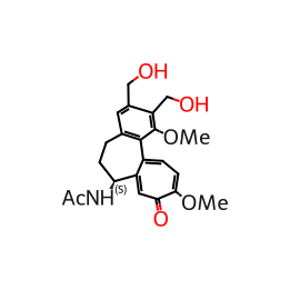 COc1c(CO)c(CO)cc2c1-c1ccc(OC)c(=O)cc1[C@@H](NC(C)=O)CC2